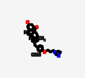 COc1cc(/C=C2/C[C@H]3[C@@H]4CCC5=CC(=O)CC(=O)[C@]5(C)[C@H]4CC[C@]3(C)C2)ccc1OCCCn1ccnc1